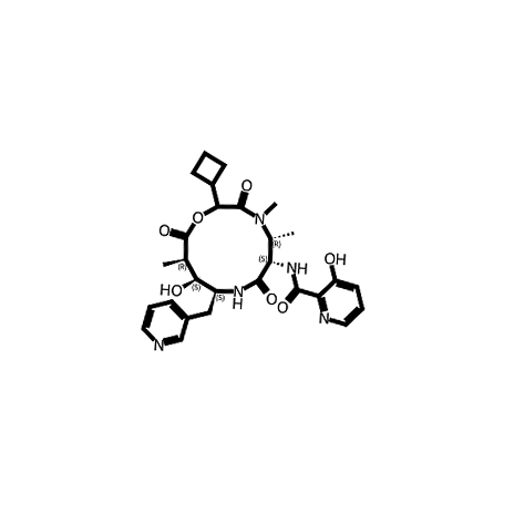 C[C@@H]1[C@H](NC(=O)c2ncccc2O)C(=O)N[C@@H](Cc2cccnc2)[C@@H](O)[C@@H](C)C(=O)OC(C2CCC2)C(=O)N1C